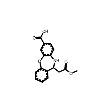 COC(=O)CC1Nc2ccc(C(=O)O)cc2Oc2ccccc21